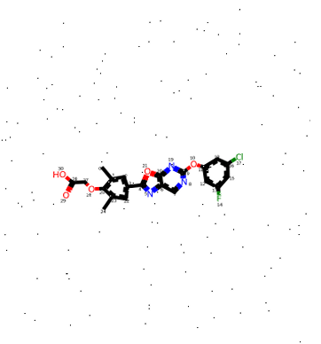 Cc1cc(-c2nc3cnc(Oc4cc(F)cc(Cl)c4)nc3o2)cc(C)c1OCC(=O)O